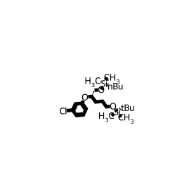 CCCC[Si](C)(C)OC[C@H](CCCO[Si](C)(C)C(C)(C)C)Oc1cccc(Cl)c1